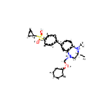 CC(=O)N1c2ccc(-c3ccc(S(=O)(=O)C4CC4)cc3)cc2N(COC2CCCCC2)C[C@@H]1C